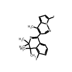 Cc1c(C2=NC(C)(C)C(C)(C)c3c(F)cccc32)cnn2c(F)ccc12